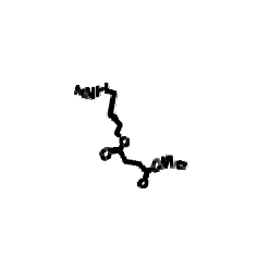 COC(=O)CCC(=O)OCCCCNC(C)=O